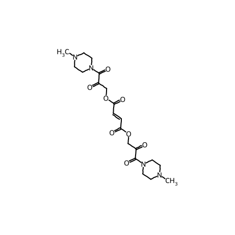 CN1CCN(C(=O)C(=O)COC(=O)/C=C/C(=O)OCC(=O)C(=O)N2CCN(C)CC2)CC1